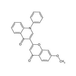 COc1ccc2c(=O)cc(-c3cn(-c4ccccc4)c4ccccc4c3=O)oc2c1